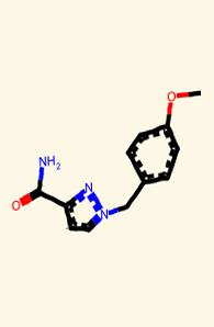 COc1ccc(Cn2c[c]c(C(N)=O)n2)cc1